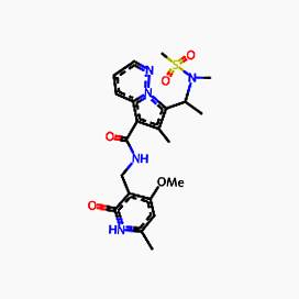 COc1cc(C)[nH]c(=O)c1CNC(=O)c1c(C)c(C(C)N(C)S(C)(=O)=O)n2ncccc12